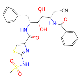 CS(=O)(=O)Nc1nc(C(=O)N[C@H](Cc2ccccc2)[C@@H](O)[C@H](O)[C@H](CC#N)NC(=O)c2ccccc2)cs1